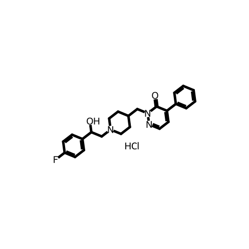 Cl.O=c1c(-c2ccccc2)ccnn1CC1CCN(CC(O)c2ccc(F)cc2)CC1